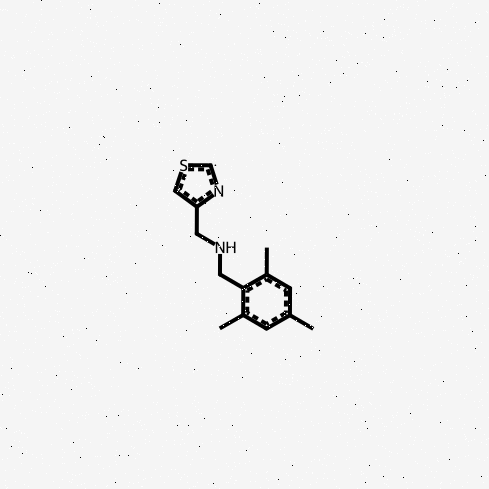 Cc1cc(C)c(CNCc2cs[c]n2)c(C)c1